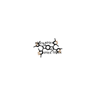 CCCCCC[Si]1(CCCCCC)C(c2cc(C)sc2C)=C(c2cc(C)sc2C)c2cc3c(cc21)C(c1cc(C)sc1C)=C(c1cc(C)sc1C)[Si]3(CCCCCC)CCCCCC